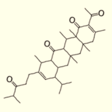 CC(=O)C1=C(C)CC2(C)CC3(C)CC4C(C(C)C)C=C(CCC(=O)C(C)C)C(C)C4C(=O)C3C(C)C2(C)C1=O